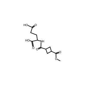 COC(=O)C1CC(C(=O)NC(CCC(=O)O)C(=O)O)C1